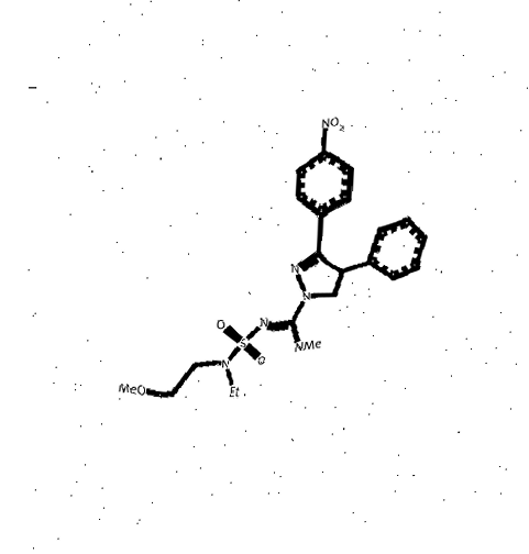 CCN(CCOC)S(=O)(=O)/N=C(\NC)N1CC(c2ccccc2)C(c2ccc([N+](=O)[O-])cc2)=N1